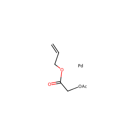 C=CCOC(=O)COC(C)=O.[Pd]